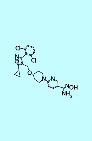 N/C(=N\O)c1ccc(N2CCC(OCc3c(-c4c(Cl)cccc4Cl)noc3C3CC3)CC2)nc1